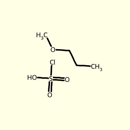 CCCOC.O=S(=O)(O)Cl